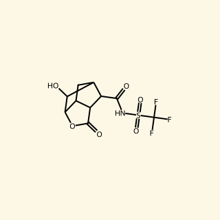 O=C(NS(=O)(=O)C(F)(F)F)C1C2CC3C(OC(=O)C31)C2O